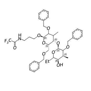 CCC1O[C@@H](O[C@H]2C(C)C(OCc3ccccc3)[C@H](OCCCNC(=O)C(F)(F)F)O[C@H]2COCc2ccccc2)C(OCc2ccccc2)[C@@H](C)[C@H]1O